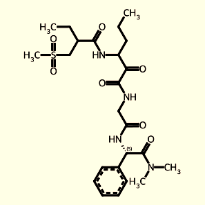 CCCC(NC(=O)C(CC)CS(C)(=O)=O)C(=O)C(=O)NCC(=O)N[C@H](C(=O)N(C)C)c1ccccc1